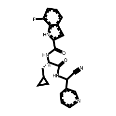 N#CC(NC(=O)[C@H](CC1CC1)NC(=O)c1cc2cccc(F)c2[nH]1)c1cccnc1